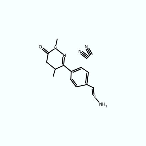 C#N.C#N.CC1CC(=O)N(C)N=C1c1ccc(C=NN)cc1